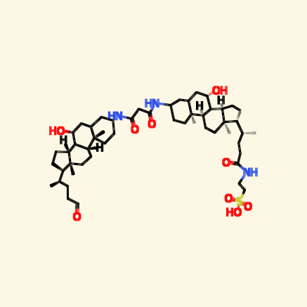 C[C@H](CCC=O)[C@H]1CC[C@@H]2C3[C@@H](CC[C@@]21C)[C@@]1(C)CCC(NC(=O)CC(=O)NC2CC[C@@]4(C)C(C2)C[C@H](O)C2[C@H]5CC[C@H]([C@H](C)CCC(=O)NCCS(=O)(=O)O)[C@@]5(C)CC[C@H]24)CC1C[C@@H]3O